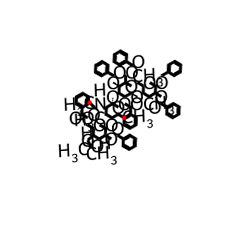 CCC1O[C@@H](O[C@@H]2C(OC(=O)c3ccccc3)[C@H](O[C@@H]3C(CC)O[C@@H](OCc4ccccc4)C(OC(=O)c4ccccc4)[C@H]3C)OC(COC(=O)c3ccccc3)[C@@H]2OC(=O)c2ccccc2)C(NC(C)=O)[C@@H](C)[C@@H]1O[C@@H]1OC(COC(=O)c2ccccc2)[C@@H]2OC(C)(C)O[C@@H]2C1OC(=O)c1ccccc1